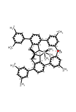 Cc1cc(C)cc(-c2ccc(-c3cc(C)cc(C)c3)c3c2C=C(C(C)(C)C)[CH]3[Zr]([CH3])([CH3])(=[SiH2])[CH]2C(C(C)(C)C)=Cc3c(-c4cc(C)cc(C)c4)ccc(-c4cc(C)cc(C)c4)c32)c1